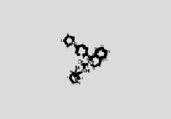 C=C(/C=C\C(=C/C)N1CCCC1)C1=[N+](C(=O)N[C@@H]2CN3CCC2CC3)CCc2ccccc21